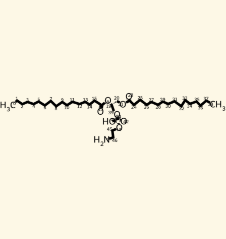 CCCCCCCCCCCCCCCCC(=O)O[C@H](COC(=O)CCCCCCCCCCCCCCC)COP(=O)(O)OCCN